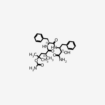 C[C@@H](CC(C)(C)OC(N)=O)C(=O)N[C@@H](Cc1ccccc1)C(=O)NC(Cc1ccccc1)[C@H](O)C(N)=O